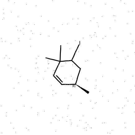 C[C@H]1C=CC(C)(C)C(I)C1